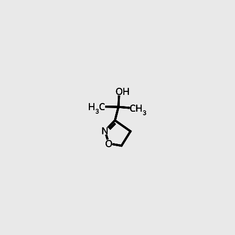 CC(C)(O)C1=NOCC1